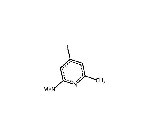 CNc1cc(I)cc(C)n1